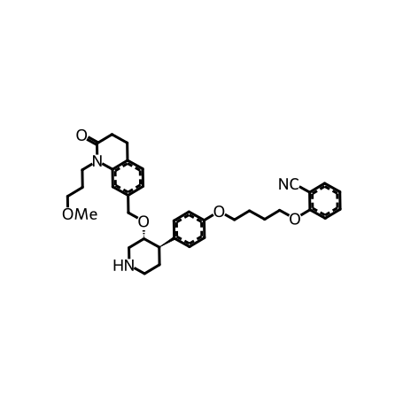 COCCCN1C(=O)CCc2ccc(CO[C@H]3CNCC[C@@H]3c3ccc(OCCCCOc4ccccc4C#N)cc3)cc21